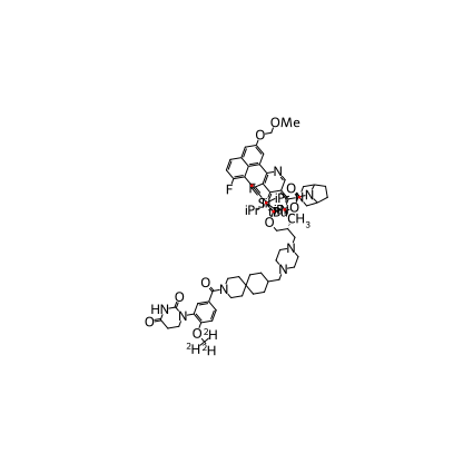 [2H]C([2H])([2H])Oc1ccc(C(=O)N2CCC3(CCC(CN4CCN(C[C@@H](C)COc5nc(N6CC7CCC(C6)N7C(=O)OC(C)(C)C)c6cnc(-c7cc(OCOC)cc8ccc(F)c(C#C[Si](C(C)C)(C(C)C)C(C)C)c78)c(F)c6n5)CC4)CC3)CC2)cc1N1CCC(=O)NC1=O